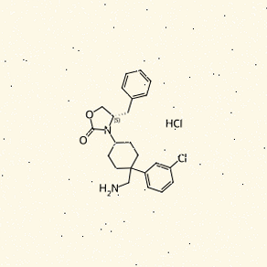 Cl.NCC1(c2cccc(Cl)c2)CCC(N2C(=O)OC[C@@H]2Cc2ccccc2)CC1